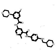 Cc1ncc(NC(=O)c2cc(F)cc(N3CCOCC3)c2)cc1C(=O)Nc1ccc(NCC2CCOCC2)nc1